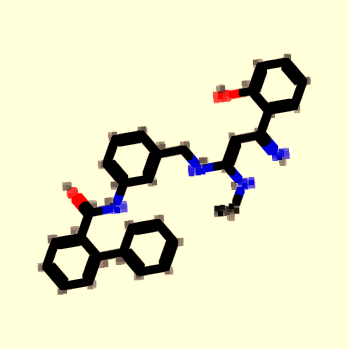 CNN/C(=C\C(=N)c1ccccc1O)NCc1cccc(NC(=O)c2ccccc2-c2ccccc2)c1